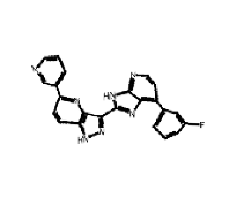 Fc1cccc(-c2ccnc3[nH]c(-c4n[nH]c5ccc(-c6cccnc6)nc45)nc23)c1